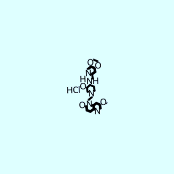 COc1cnc2ccc(=O)n(CCN3CC[C@H](NCc4cc5c(cn4)OCCO5)[C@H](O)C3)c2c1.Cl